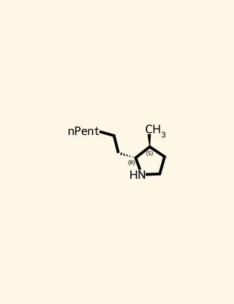 CCCCCCC[C@H]1NCC[C@@H]1C